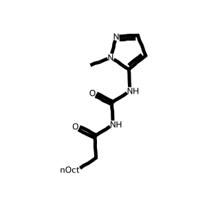 CCCCCCCCCC(=O)NC(=O)Nc1ccnn1C